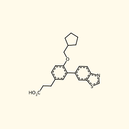 O=C(O)CCc1ccc(OCC2CCCC2)c(-c2ccc3ncsc3c2)c1